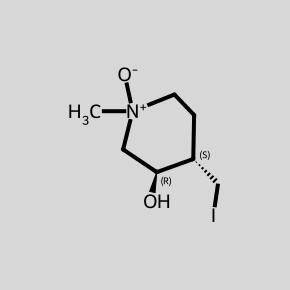 C[N+]1([O-])CC[C@H](CI)[C@@H](O)C1